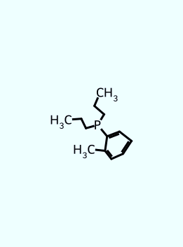 CCCP(CCC)c1ccccc1C